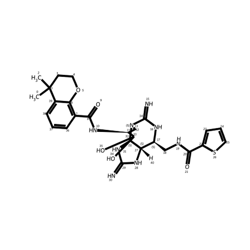 CC1(C)CCOc2c(C(=O)N[C@H]3CN4C(=N)N[C@@H](CNC(=O)c5cccs5)[C@@H]5NC(=N)N[C@@]54C3(O)O)cccc21